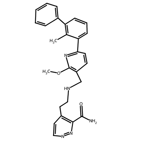 COc1nc(-c2cccc(-c3ccccc3)c2C)ccc1CNCCc1ccnnc1C(N)=O